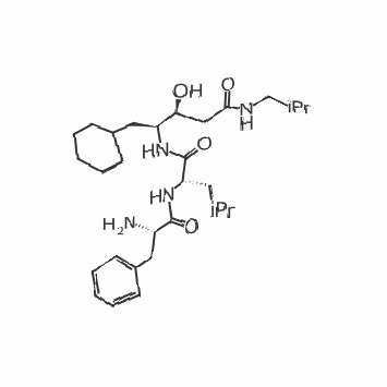 CC(C)CNC(=O)C[C@H](O)[C@H](CC1CCCCC1)NC(=O)[C@H](CC(C)C)NC(=O)[C@@H](N)Cc1ccccc1